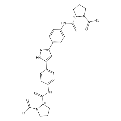 CCC(=O)N1CCC[C@H]1C(=O)Nc1ccc(-c2cc(-c3ccc(NC(=O)[C@@H]4CCCN4C(=O)CC)cc3)[nH]n2)cc1